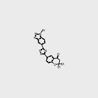 CCC1(CC)CC(=O)c2cc(-c3nsc(-c4ccc5c(c4)nnn5C(C)C)n3)ccc2O1